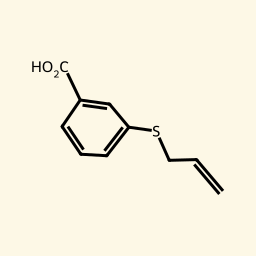 C=CCSc1cccc(C(=O)O)c1